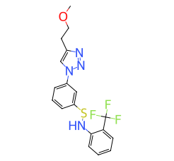 COCCc1cn(-c2cccc(SNc3ccccc3C(F)(F)F)c2)nn1